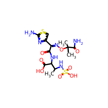 CC(NS(=O)(=O)O)C(NC(=O)/C(=N\OC(C)(C)C(N)=O)c1csc(N)n1)C(=O)O